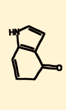 O=C1CC=Cc2[nH]ccc21